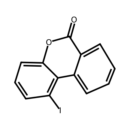 O=c1oc2cccc(I)c2c2ccccc12